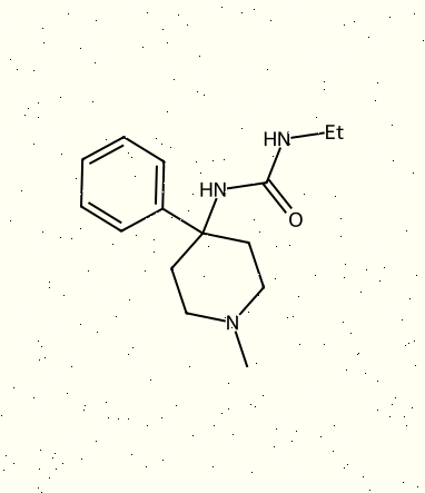 CCNC(=O)NC1(c2ccccc2)CCN(C)CC1